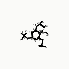 C=C(C)Cc1cc(CC(C)(C)C)cc(CC(=C)C)c1OC